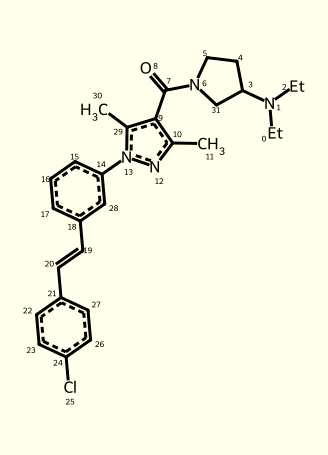 CCN(CC)C1CCN(C(=O)c2c(C)nn(-c3cccc(C=Cc4ccc(Cl)cc4)c3)c2C)C1